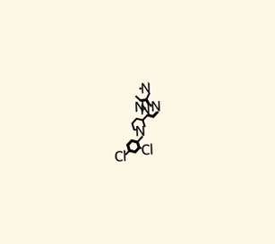 Cc1nn2c(C3CCCN(Cc4ccc(Cl)cc4Cl)C3)ccnc2c1CN(C)C